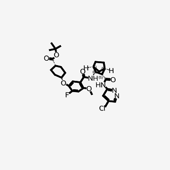 COc1cc(F)c(O[C@H]2CC[C@@H](C(=O)OC(C)(C)C)CC2)cc1C(=O)N[C@@H]1[C@H]2CC[C@H](C2)[C@@H]1C(=O)Nc1cc(Cl)cnn1